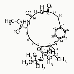 COC(=O)C1CCCCCC(CC(C)C)(NC(=O)OC(C)(C)C)Sc2ccc(cc2)CCC(=O)NCC(=O)N1